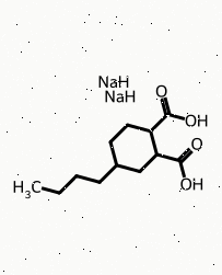 CCCCC1CCC(C(=O)O)C(C(=O)O)C1.[NaH].[NaH]